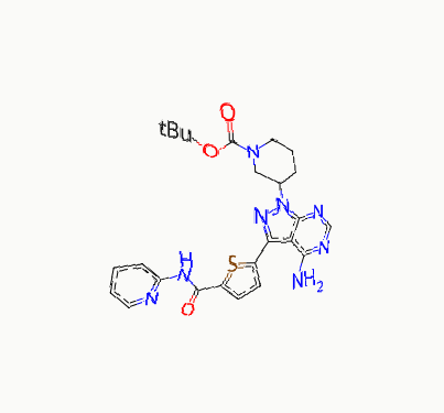 CC(C)(C)OC(=O)N1CCCC(n2nc(-c3ccc(C(=O)Nc4ccccn4)s3)c3c(N)ncnc32)C1